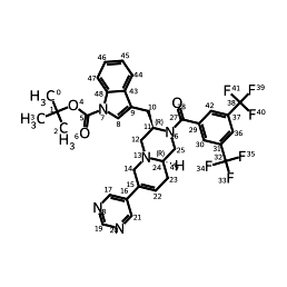 CC(C)(C)OC(=O)n1cc(C[C@@H]2CN3CC(c4cncnc4)=CC[C@@H]3CN2C(=O)c2cc(C(F)(F)F)cc(C(F)(F)F)c2)c2ccccc21